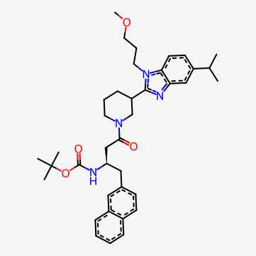 COCCCn1c(C2CCCN(C(=O)C[C@@H](Cc3ccc4ccccc4c3)NC(=O)OC(C)(C)C)C2)nc2cc(C(C)C)ccc21